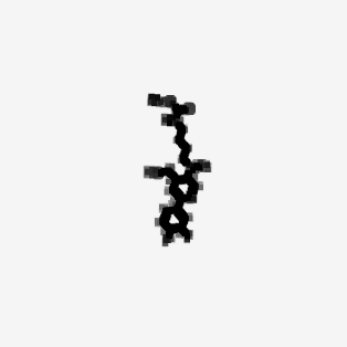 CCN(CCCCNC(=O)OC)c1cnc(-c2ccc(F)c(F)c2)cc1CO